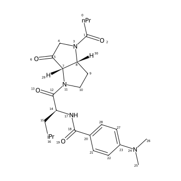 CCCC(=O)N1CC(=O)[C@@H]2[C@H]1CCN2C(=O)[C@H](CC(C)C)NC(=O)c1ccc(N(C)C)cc1